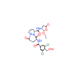 CCOC1OC(=O)C[C@@H]1NC(=O)[C@@H]1CCCN2C(=O)CC[C@H](NC(=O)c3cc(Cl)c(CO)c(Cl)c3)C(=O)N12